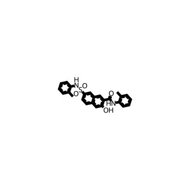 Cc1ccccc1NC(=O)c1cc2cc(S(=O)(=O)Nc3ccccc3C)ccc2cc1O